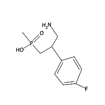 CP(=O)(O)CC(CN)c1ccc(F)cc1